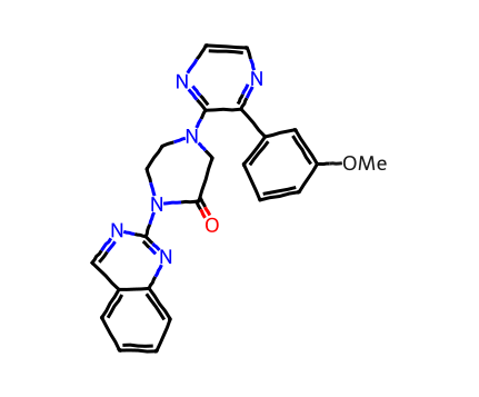 COc1cccc(-c2nccnc2N2CCN(c3ncc4ccccc4n3)C(=O)C2)c1